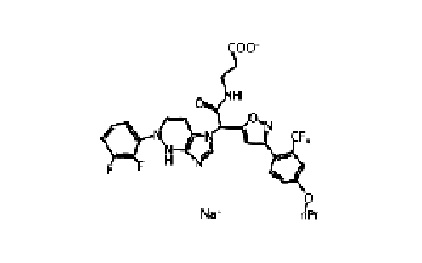 CCCOc1ccc(-c2cc(C(C(=O)NCCC(=O)[O-])n3cnc4c3C=CN(c3cccc(F)c3F)N4)on2)c(C(F)(F)F)c1.[Na+]